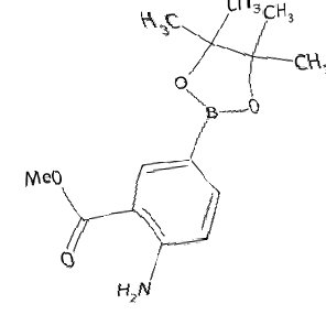 COC(=O)c1cc(B2OC(C)(C)C(C)(C)O2)ccc1N